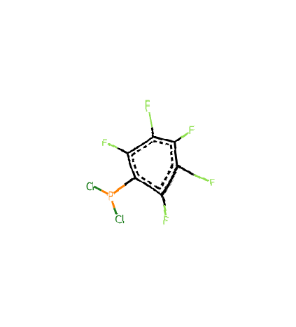 Fc1c(F)c(F)c(P(Cl)Cl)c(F)c1F